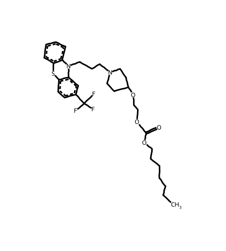 CCCCCCCOC(=O)OCCOC1CCN(CCCN2c3ccccc3Sc3ccc(C(F)(F)F)cc32)CC1